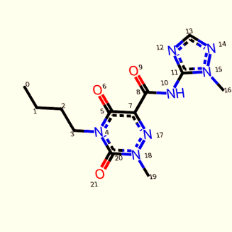 CCCCn1c(=O)c(C(=O)Nc2ncnn2C)nn(C)c1=O